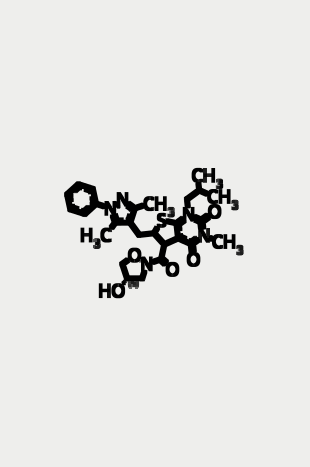 Cc1nn(-c2ccccc2)c(C)c1CC1Sc2c(c(=O)n(C)c(=O)n2CC(C)C)C1C(=O)N1C[C@H](O)CO1